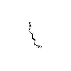 O=C=NCC=CCN=O